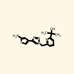 CC(C)(O)c1cccc(Cn2cc(-c3csc(N)c3)nn2)n1